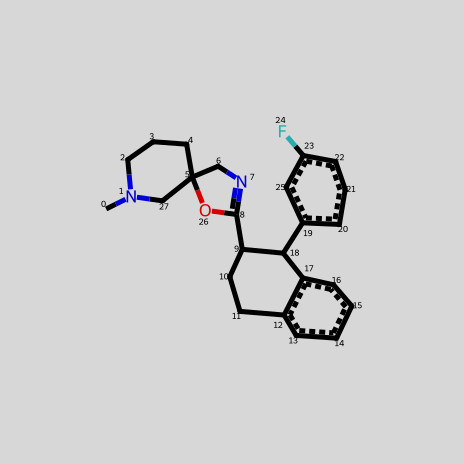 CN1CCCC2(CN=C(C3CCc4ccccc4C3c3cccc(F)c3)O2)C1